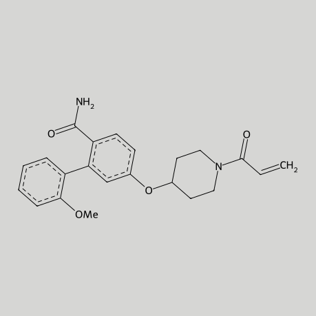 C=CC(=O)N1CCC(Oc2ccc(C(N)=O)c(-c3ccccc3OC)c2)CC1